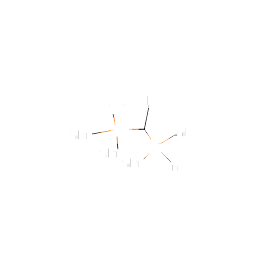 CCC[PH](CCC)(CCC)C(CC)[PH](CCC)(CCC)CCC